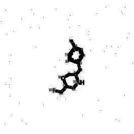 Cc1ccc(CC2COC(CF)CN2)cc1